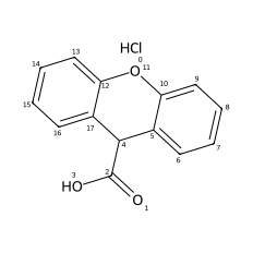 Cl.O=C(O)C1c2ccccc2Oc2ccccc21